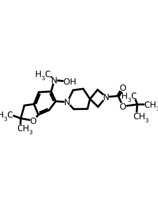 CN(O)c1cc2c(cc1N1CCC3(CC1)CN(C(=O)OC(C)(C)C)C3)OC(C)(C)C2